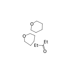 C1CCOCC1.C1CCOCC1.CCC(=O)CC